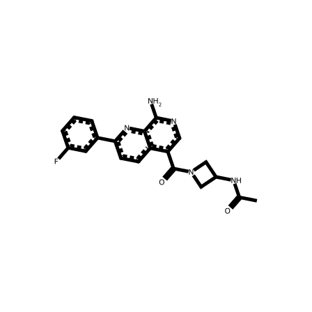 CC(=O)NC1CN(C(=O)c2cnc(N)c3nc(-c4cccc(F)c4)ccc23)C1